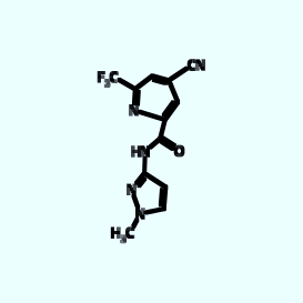 Cn1ccc(NC(=O)c2cc(C#N)cc(C(F)(F)F)n2)n1